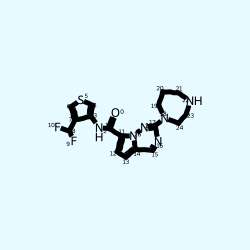 O=C(Nc1cscc1C(F)F)c1ccc2cnc(N3CCCNCC3)nn12